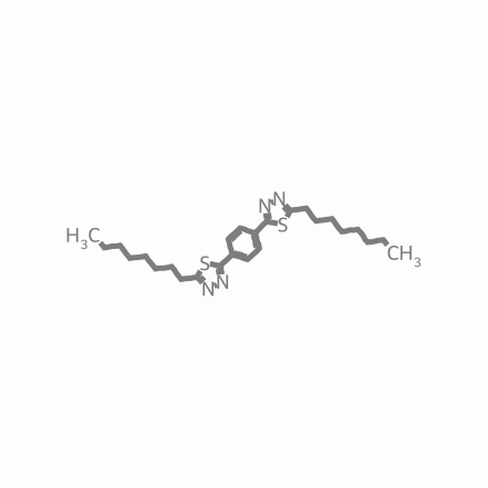 CCCCCCCCc1nnc(-c2ccc(-c3nnc(CCCCCCCC)s3)cc2)s1